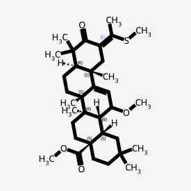 COC(=O)[C@]12CCC(C)(C)C[C@H]1[C@H]1C(OC)C=C3[C@@]4(C)C/C(=C(/C)SC)C(=O)C(C)(C)[C@@H]4CC[C@@]3(C)[C@]1(C)CC2